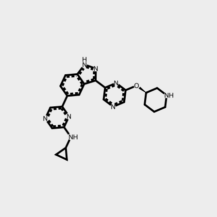 c1cc2[nH]nc(-c3cncc(O[C@@H]4CCCNC4)n3)c2cc1-c1cncc(NC2CC2)n1